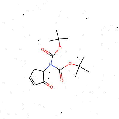 CC(C)(C)OC(=O)N(C(=O)OC(C)(C)C)C1CC=CC1=O